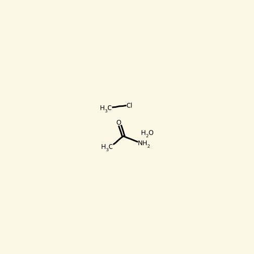 CC(N)=O.CCl.O